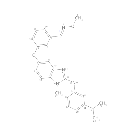 CO/N=C/c1cc(Oc2ccc3c(c2)nc(Nc2cccc(C(C)C)c2)n3C)ccn1